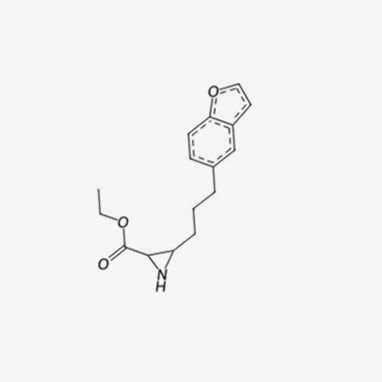 CCOC(=O)C1NC1CCCc1ccc2occc2c1